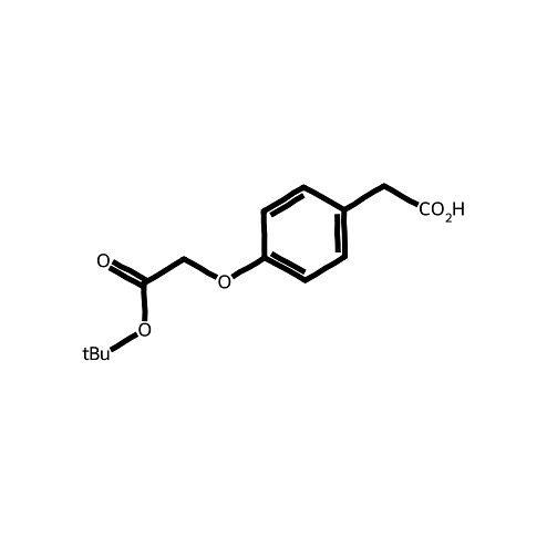 CC(C)(C)OC(=O)COc1ccc(CC(=O)O)cc1